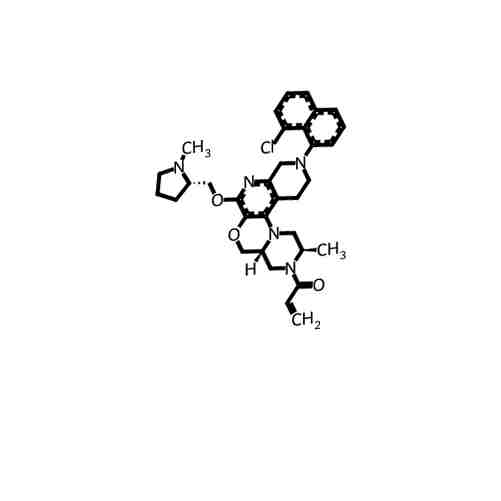 C=CC(=O)N1C[C@@H]2COc3c(OC[C@@H]4CCCN4C)nc4c(c3N2C[C@H]1C)CCN(c1cccc2cccc(Cl)c12)C4